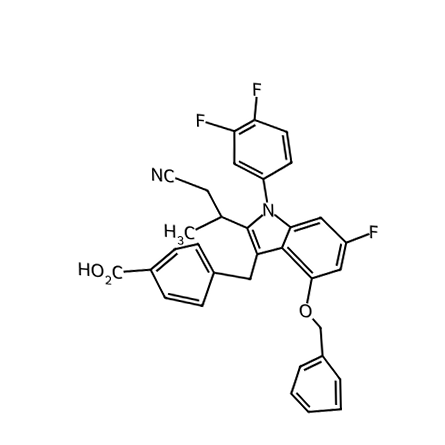 CC(CC#N)c1c(Cc2ccc(C(=O)O)cc2)c2c(OCc3ccccc3)cc(F)cc2n1-c1ccc(F)c(F)c1